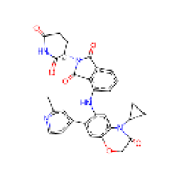 Cc1cc(-c2cc3c(cc2Nc2cccc4c2C(=O)N([C@H]2CCC(=O)NC2=O)C4=O)N(C2CC2)C(=O)CO3)ccn1